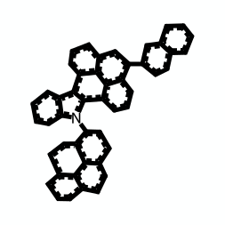 c1ccc2cc(-c3cc4cccc5c4c4c3cccc4c3c5c4ccccc4n3-c3ccc4ccc5cccc6ccc3c4c56)ccc2c1